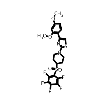 COc1ccc(-c2csc(N3CCC(S(=O)(=O)c4c(F)c(F)c(F)c(F)c4F)CC3)n2)c(OC)c1